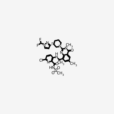 Cc1cc([C@@H](C)Nc2ccc(Cl)nc2C(=O)NS(C)(=O)=O)c2nc(N3CCC[C@@H](c4ccn(C(F)F)n4)C3)n(C)c(=O)c2c1